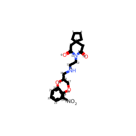 O=C1CC2(CCCC2)CC(=O)N1CCNCC1COc2c(cccc2[N+](=O)[O-])O1